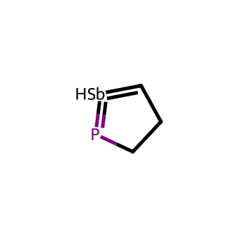 [CH]1=[SbH]=[P]CC1